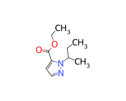 CCOC(=O)c1ccnn1C(C)CC